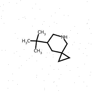 CC(C)(C)C1CNCC2(CC2)C1